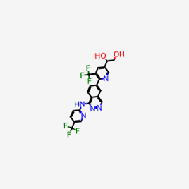 OC[C@H](O)c1cnc(-c2ccc3c(Nc4ccc(C(F)(F)F)cn4)nncc3c2)c(C(F)(F)F)c1